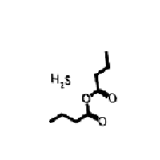 CCCC(=O)OC(=O)CCC.S